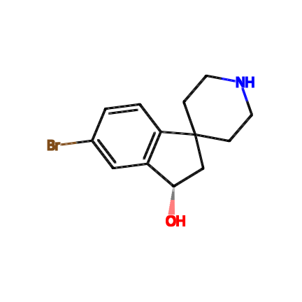 O[C@H]1CC2(CCNCC2)c2ccc(Br)cc21